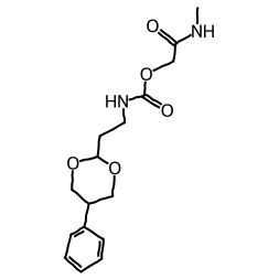 CNC(=O)COC(=O)NCCC1OCC(c2ccccc2)CO1